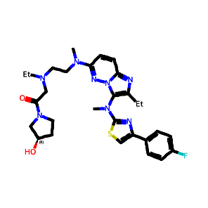 CCc1nc2ccc(N(C)CCN(CC)CC(=O)N3CC[C@@H](O)C3)nn2c1N(C)c1nc(-c2ccc(F)cc2)cs1